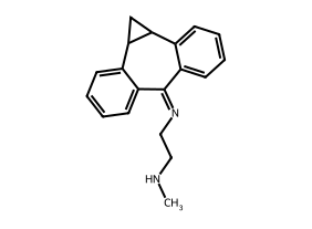 CNCCN=C1c2ccccc2C2CC2c2ccccc21